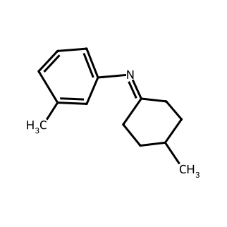 Cc1cccc(N=C2CCC(C)CC2)c1